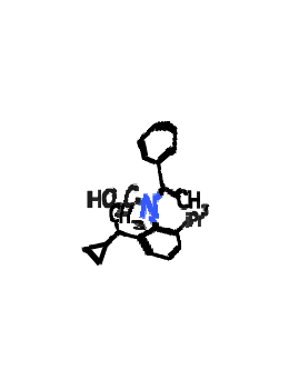 CC(C)c1cccc([C@H](C)C2CC2)c1N(C(=O)O)[C@H](C)c1ccccc1